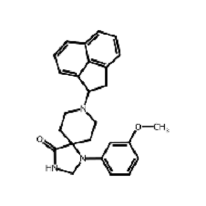 COc1cccc(N2CNC(=O)C23CCN(C2Cc4cccc5cccc2c45)CC3)c1